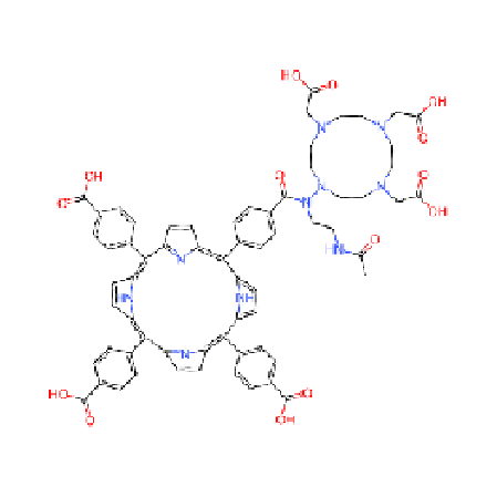 CC(=O)NCCN(C(=O)c1ccc(-c2c3nc(c(-c4ccc(C(=O)O)cc4)c4ccc([nH]4)c(-c4ccc(C(=O)O)cc4)c4nc(c(-c5ccc(C(=O)O)cc5)c5ccc2[nH]5)C=C4)C=C3)cc1)N1CCN(CC(=O)O)CCN(CC(=O)O)CCN(CC(=O)O)CC1